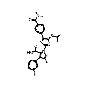 Cc1nn(-c2nc(-c3ccc(C(=O)N(C)C)cc3)c(SC(C)C)s2)c(C(=O)O)c1-c1cccc(F)c1